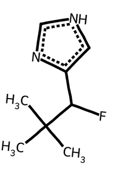 CC(C)(C)C(F)c1c[nH]cn1